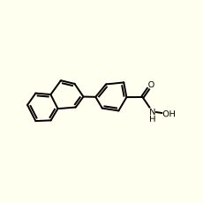 O=C(NO)c1ccc(-c2ccc3ccccc3c2)cc1